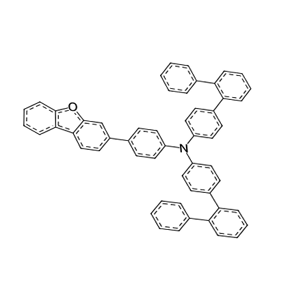 c1ccc(-c2ccccc2-c2ccc(N(c3ccc(-c4ccc5c(c4)oc4ccccc45)cc3)c3ccc(-c4ccccc4-c4ccccc4)cc3)cc2)cc1